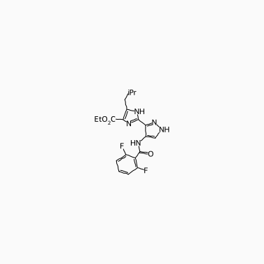 CCOC(=O)c1nc(-c2n[nH]cc2NC(=O)c2c(F)cccc2F)[nH]c1CC(C)C